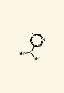 CCCN(CCC)c1cncnc1